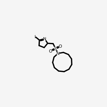 O=S(=O)(CC1CCC(I)=N1)N1CCCCCCCCCC1